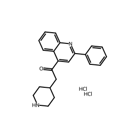 Cl.Cl.O=C(CC1CCNCC1)c1cc(-c2ccccc2)nc2ccccc12